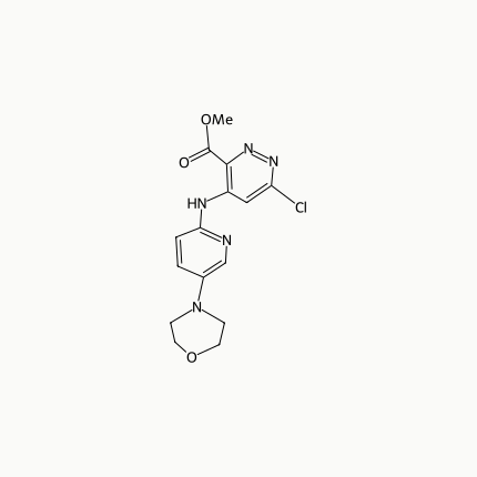 COC(=O)c1nnc(Cl)cc1Nc1ccc(N2CCOCC2)cn1